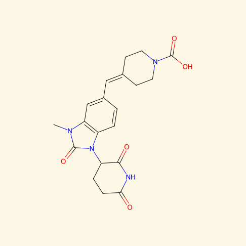 Cn1c(=O)n(C2CCC(=O)NC2=O)c2ccc(C=C3CCN(C(=O)O)CC3)cc21